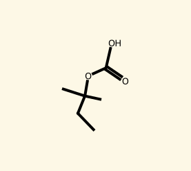 CCC(C)(C)OC(=O)O